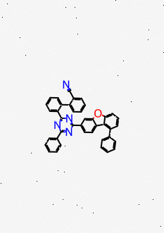 N#Cc1ccccc1-c1ccccc1-c1nc(-c2ccccc2)nc(-c2ccc3c(c2)oc2cccc(-c4ccccc4)c23)n1